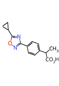 CC(C(=O)O)c1ccc(-c2noc(C3CC3)n2)cc1